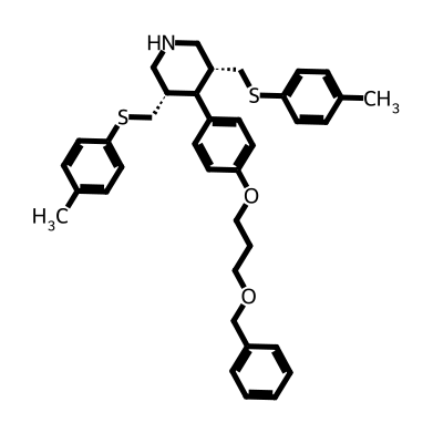 Cc1ccc(SC[C@H]2CNC[C@@H](CSc3ccc(C)cc3)C2c2ccc(OCCCOCc3ccccc3)cc2)cc1